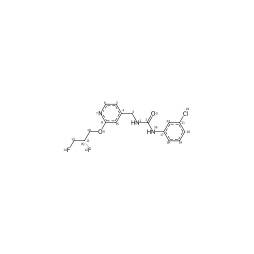 O=C(NCc1ccnc(OC[C@H](F)CF)c1)Nc1cccc(Cl)c1